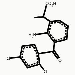 CC(C(=O)O)c1cccc(C(=O)c2ccc(Cl)cc2Cl)c1N